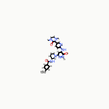 CN1CCN(C)C(c2ccc(Nc3cc(N4CCC[C@@H](NC(=O)c5ccc(C(C)(C)C)cc5)C4)nn(C)c3=O)nc2)C1=O